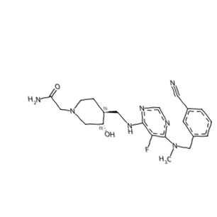 CN(Cc1cccc(C#N)c1)c1ncnc(NC[C@@H]2CCN(CC(N)=O)C[C@H]2O)c1F